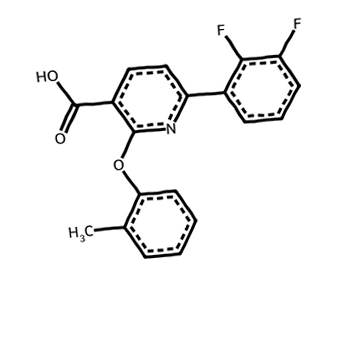 Cc1ccccc1Oc1nc(-c2cccc(F)c2F)ccc1C(=O)O